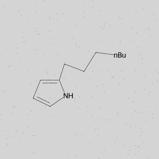 [CH2]CCCCCCc1ccc[nH]1